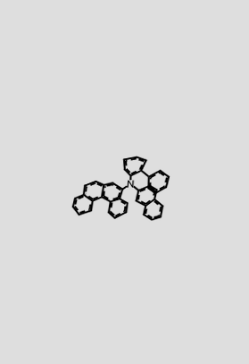 c1ccc(-c2ccccc2N(c2ccc3ccccc3c2)c2cc3ccc4ccccc4c3c3ccccc23)cc1